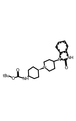 CC(C)(C)OC(=O)N[C@H]1CC[C@@H](N2CCC(n3c(=O)[nH]c4ccccc43)CC2)CC1